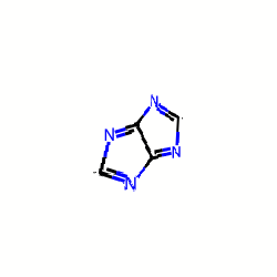 [C]1=NC2=N[C]=NC2=N1